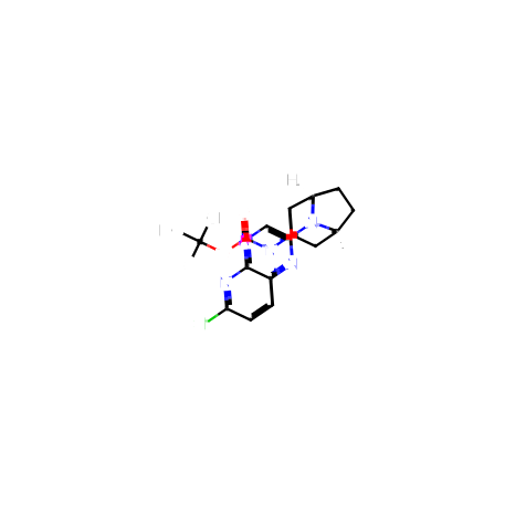 CC(C)(C)OC(=O)NC1C[C@H]2CC[C@@H](C1)N2c1cnc2nc(Cl)ccc2n1